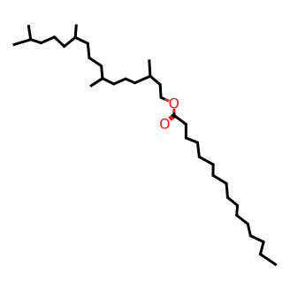 CCCCCCCCCCCCCCCC(=O)OCCC(C)CCCC(C)CCCC(C)CCCC(C)C